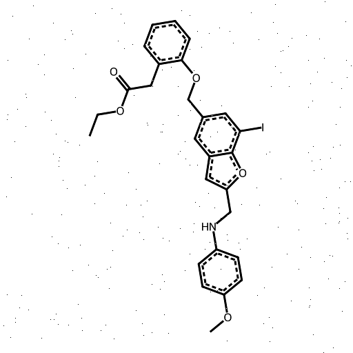 CCOC(=O)Cc1ccccc1OCc1cc(I)c2oc(CNc3ccc(OC)cc3)cc2c1